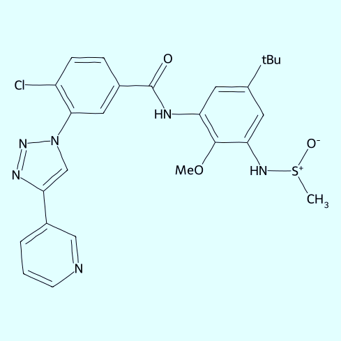 COc1c(NC(=O)c2ccc(Cl)c(-n3cc(-c4cccnc4)nn3)c2)cc(C(C)(C)C)cc1N[S+](C)[O-]